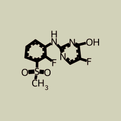 CS(=O)(=O)c1cccc(Nc2ncc(F)c(O)n2)c1F